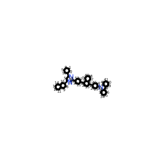 c1ccc(-c2cc(-c3ccc4ccccc4c3)nc(-c3ccc(-c4ccc(-c5ccc(-n6c7ccccc7c7ccccc76)cc5)c5ccccc45)cc3)n2)cc1